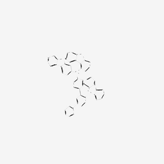 c1ccc(-c2ccc(-n3c4ccccc4c4ccccc43)c(-c3ccc(N(c4ccc5c(c4)oc4ccccc45)c4cccc5oc6ccccc6c45)cc3)c2)cc1